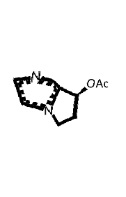 CC(=O)O[C@H]1CCn2ccnc21